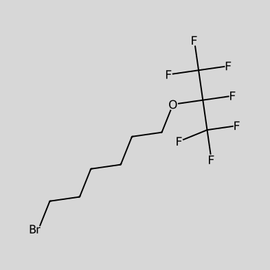 FC(F)(F)C(F)(OCCCCCCBr)C(F)(F)F